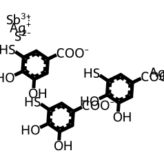 O=C([O-])c1cc(O)c(O)c(S)c1.O=C([O-])c1cc(O)c(O)c(S)c1.O=C([O-])c1cc(O)c(O)c(S)c1.[Ag+].[Ag+].[S-2].[Sb+3]